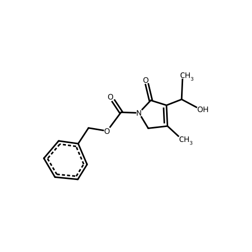 CC1=C(C(C)O)C(=O)N(C(=O)OCc2ccccc2)C1